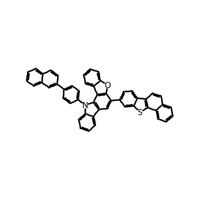 c1ccc2cc(-c3ccc(-n4c5ccccc5c5cc(-c6ccc7c(c6)sc6c8ccccc8ccc76)c6oc7ccccc7c6c54)cc3)ccc2c1